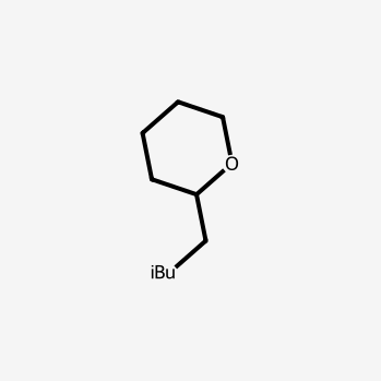 CCC(C)CC1CCCCO1